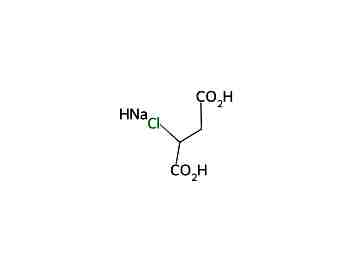 O=C(O)CC(Cl)C(=O)O.[NaH]